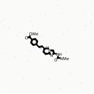 CNC(=O)Nc1cn2nc(/C=C/c3ccc(C(=O)OC)cc3)ccc2n1